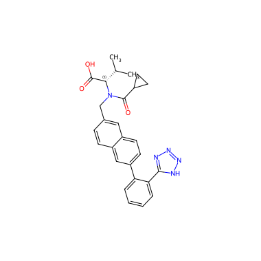 CC(C)[C@@H](C(=O)O)N(Cc1ccc2cc(-c3ccccc3-c3nnn[nH]3)ccc2c1)C(=O)C1CC1